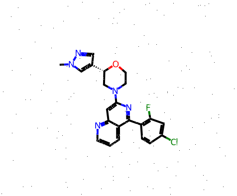 Cn1cc([C@H]2CN(c3cc4ncccc4c(-c4ccc(Cl)cc4F)n3)CCO2)cn1